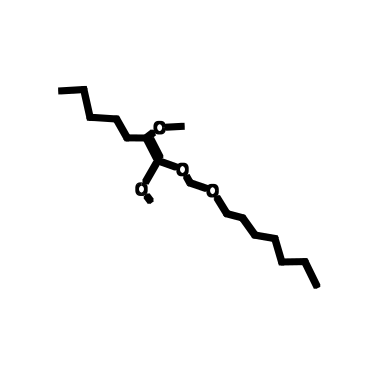 CCCCCCCOCO/C(OC)=C(/CCCCC)OC